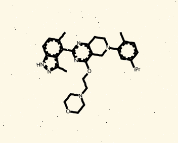 Cc1ccc(C(C)C)cc1N1CCc2nc(-c3c(C)ccc4[nH]nc(C)c34)nc(OCCN3CCOCC3)c2C1